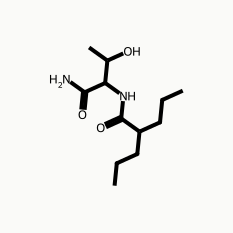 CCCC(CCC)C(=O)NC(C(N)=O)C(C)O